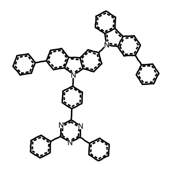 c1ccc(-c2ccc3c4ccccc4n(-c4ccc5c(c4)c4ccc(-c6ccccc6)cc4n5-c4ccc(-c5nc(-c6ccccc6)nc(-c6ccccc6)n5)cc4)c3c2)cc1